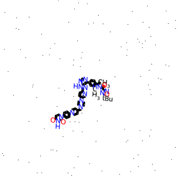 Cc1cc(-c2ncnc3[nH]c(-c4ccc(N5CCN(CC6CCN(c7ccc(N8CCC(=O)NC8=O)cc7)CC6)CC5)cn4)nc23)ccc1C(C)NC(=O)c1noc(C(C)(C)C)n1